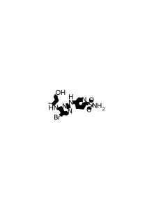 C[C@H](CCO)Nc1nc(Nc2ccc(S(N)(=O)=O)nc2)ncc1Br